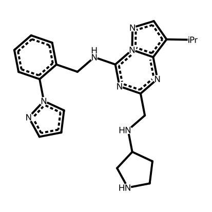 CC(C)c1cnn2c(NCc3ccccc3-n3cccn3)nc(CNC3CCNC3)nc12